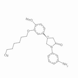 COc1ccc([C@H]2CC(=O)N(c3cccc(N)c3)C2)cc1OCCCCCCC#N